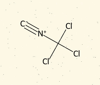 [C-]#[N+]C(Cl)(Cl)Cl